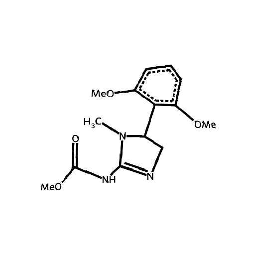 COC(=O)NC1=NCC(c2c(OC)cccc2OC)N1C